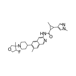 Cc1cc2cnc(NC(=O)C3C(C)C3c3cnn(C)c3)cc2cc1C1CCN(C2(C)COCC2F)CC1